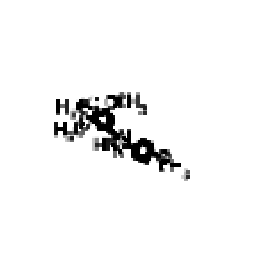 COc1ccc(-c2n[nH]c(-c3cc(OC)c(OC)c(OC)c3)n2)cc1